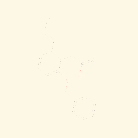 C=C(O)CC1C(OCc2ccccc2)=CC=CC1C=CC#N